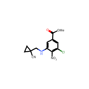 COC(=O)c1cc(Cl)c([N+](=O)[O-])c(NCC2(C#N)CC2)c1